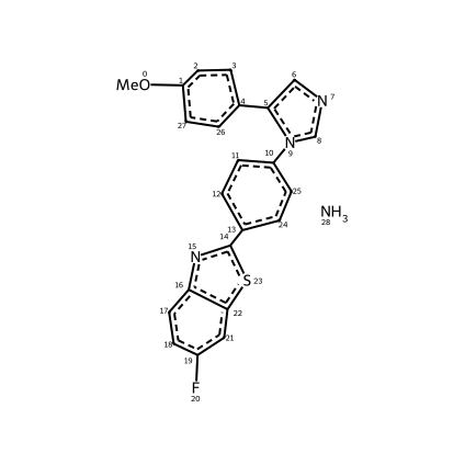 COc1ccc(-c2cncn2-c2ccc(-c3nc4ccc(F)cc4s3)cc2)cc1.N